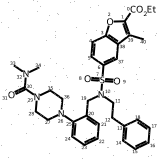 CCOC(=O)c1oc2ccc(S(=O)(=O)N(CCc3ccccc3)Cc3ccccc3N3CCN(C(=O)N(C)C)CC3)cc2c1C